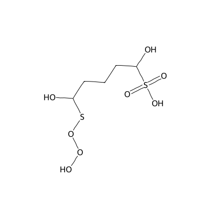 O=S(=O)(O)C(O)CCCC(O)SOOO